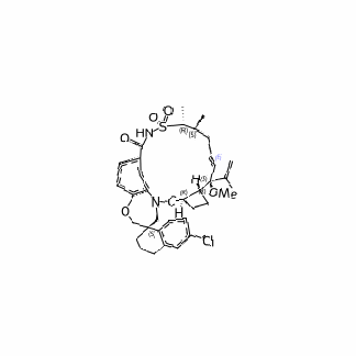 C=C(C)[C@@]1(OC)/C=C/C[C@H](C)[C@@H](C)S(=O)(=O)NC(=O)c2ccc3c(c2)N(C[C@@H]2CC[C@H]21)C[C@@]1(CCCc2cc(Cl)ccc21)CO3